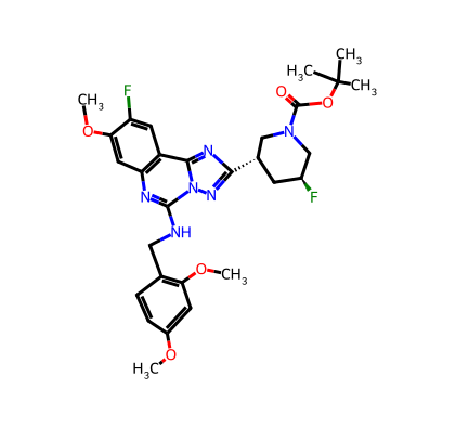 COc1ccc(CNc2nc3cc(OC)c(F)cc3c3nc([C@H]4C[C@H](F)CN(C(=O)OC(C)(C)C)C4)nn23)c(OC)c1